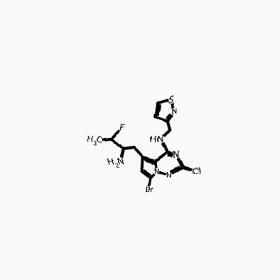 CC(F)C(N)Cc1cc(Br)n2nc(Cl)nc(NCc3ccsn3)c12